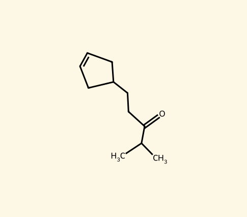 CC(C)C(=O)CCC1CC=CC1